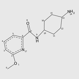 COc1cccc(C(=O)NC2CCC(N)CC2)n1